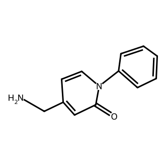 NCc1ccn(-c2ccccc2)c(=O)c1